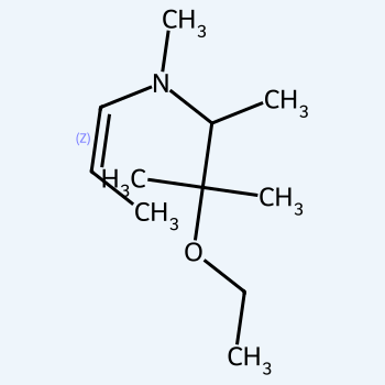 C/C=C\N(C)C(C)C(C)(C)OCC